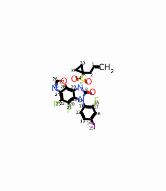 C=CCC1(S(=O)(=O)n2c(=O)n(-c3ccc(I)cc3F)c3c(F)c(F)c4ncoc4c32)CC1